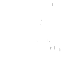 Cl.Cl.OC(CON1Cc2ccccc2C1)CN1CCCC(c2noc3cc(F)ccc23)C1